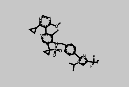 COc1ncnc(C2CC2)c1-c1ncc2c(c1F)N(Cc1ccc(-c3nc(C(F)(F)F)cn3C(C)C)cc1)S(=O)(=O)C21CC1